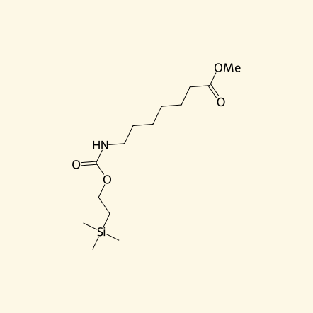 COC(=O)CCCCCCNC(=O)OCC[Si](C)(C)C